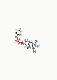 CC(C)c1[nH][nH]c(=O)c1Cc1ccc(OCCC(=O)OCc2ccccc2)cc1